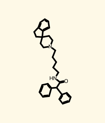 O=C(NCCCCCN1CCC2(CCc3ccccc32)CC1)C(c1ccccc1)c1ccccc1